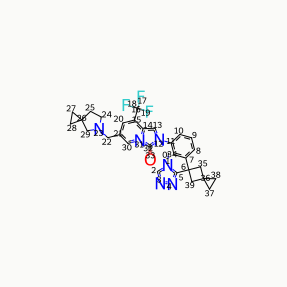 Cn1cnnc1C1(c2cccc(-n3cc4c(C(F)(F)F)cc(CN5CCC6(CC6)C5)cn4c3=O)c2)CC2(CC2)C1